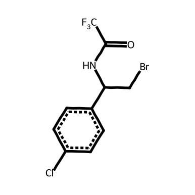 O=C(NC(CBr)c1ccc(Cl)cc1)C(F)(F)F